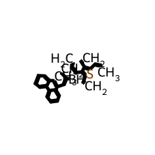 C=C/C=C(/B/C(C=C)=C/c1c(C)c2ccccc2c2ccccc12)c1c(C=C)sc(/C=C\C)c1C=C